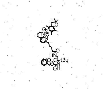 Cc1c(C)c(S(=O)(=O)N2CCCc3ccc(CCCCC(=O)NCC(NC(=O)OCc4ccccc4)(C(=O)O)C(C)(C)C)nc32)c(C)c2c1OC(C)(C)C2